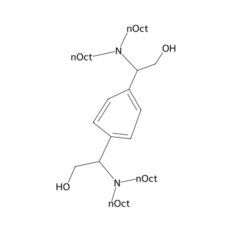 CCCCCCCCN(CCCCCCCC)C(CO)c1ccc(C(CO)N(CCCCCCCC)CCCCCCCC)cc1